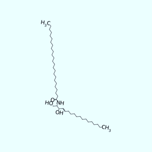 CCCCCCCCCCCCCC=CC(O)C(CO)NC(=O)CCCCCCCCCCCCCCCCCCCCCCCC